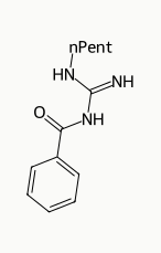 CCCCCNC(=N)NC(=O)c1ccccc1